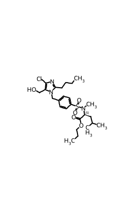 CCCCc1nc(Cl)c(CO)n1Cc1ccc(S(=O)(=O)N(C)[C@@H](CC(C)C)C(=O)OCCC)cc1